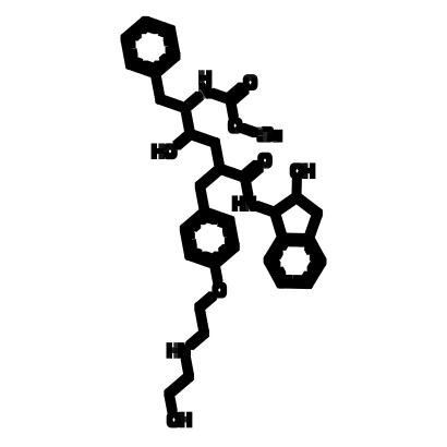 CC(C)(C)OC(=O)NC(Cc1ccccc1)C(O)CC(Cc1ccc(OCCNCCO)cc1)C(=O)NC1c2ccccc2CC1O